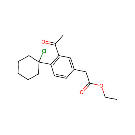 CCOC(=O)Cc1ccc(C2(Cl)CCCCC2)c(C(C)=O)c1